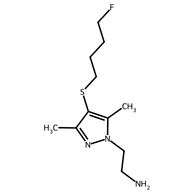 Cc1nn(CCN)c(C)c1SCCCCF